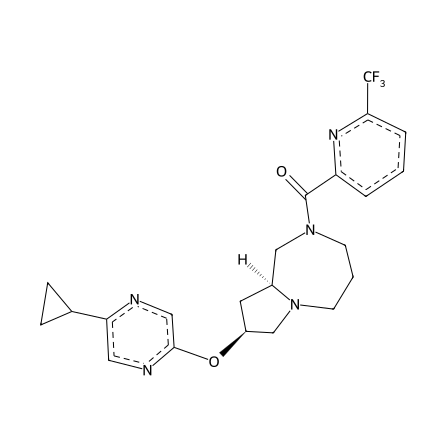 O=C(c1cccc(C(F)(F)F)n1)N1CCCN2C[C@@H](Oc3cnc(C4CC4)cn3)C[C@H]2C1